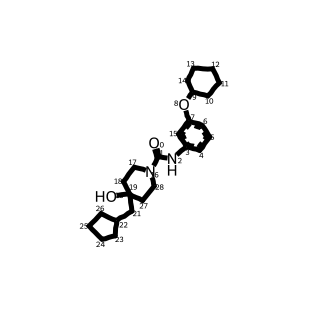 O=C(Nc1cccc(OC2CCCCC2)c1)N1CCC(O)(CC2CCCC2)CC1